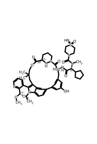 CCn1c(-c2cccnc2[C@H](C)OC)c2c3cc(ccc31)-c1cc(O)cc(c1)C[Si@H](NC(=O)[C@H](C1CCCC1)N(C)C(=O)N1CCS(=N)(=O)CC1)C(=O)N1CCC[C@H](N1)C(=O)OCC(C)(C)C2